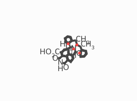 CC(CNC(=N)c1cc(C(=O)O)c2c3c(ccc(C(=O)NCC(C)c4ccccc4)c13)C(=O)NC2=O)c1ccccc1